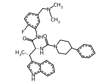 C[C@@H](c1c[nH]c2ccccc12)[C@@H](NC(=O)N1CCC(c2ccccc2)CC1)C(=O)Nc1cc(CN(C)C)ccc1F